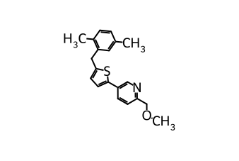 COCc1ccc(-c2ccc(Cc3cc(C)ccc3C)s2)cn1